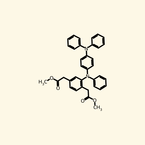 COC(=O)Cc1ccc(CC(=O)OC)c(N(c2ccccc2)c2ccc(N(c3ccccc3)c3ccccc3)cc2)c1